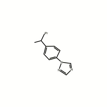 CC(C)C(C)c1ccc(-n2cncn2)cc1